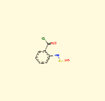 O=[SH]Nc1ccccc1C(=O)Cl